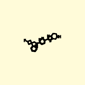 FC1CC(CNc2ccc(-c3nc4c(s3)CNCC4)nn2)(c2ccccn2)C1